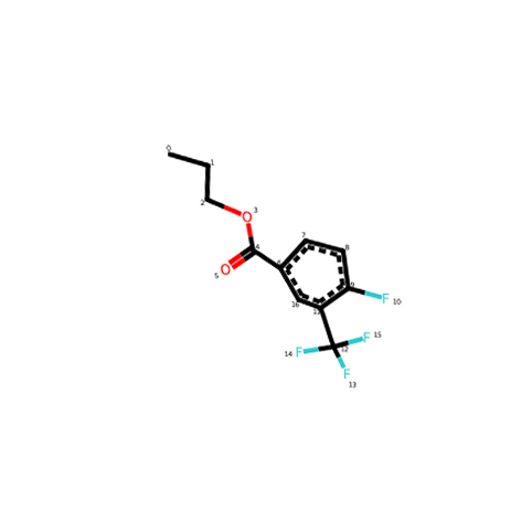 CCCOC(=O)c1ccc(F)c(C(F)(F)F)c1